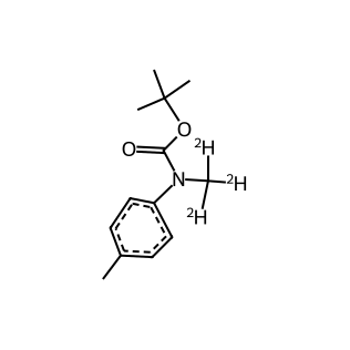 [2H]C([2H])([2H])N(C(=O)OC(C)(C)C)c1ccc(C)cc1